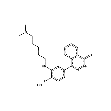 CN(C)CCCCCNc1cc(-c2n[nH]c(=O)c3ccccc23)ccc1F.Cl